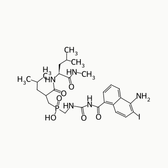 CNC(=O)[C@H](CC(C)C)NC(=O)C(CC(C)C)CP(=O)(O)CNC(=O)NC(=O)c1cccc2c(N)c(I)ccc12